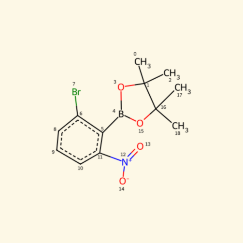 CC1(C)OB(c2c(Br)cccc2[N+](=O)[O-])OC1(C)C